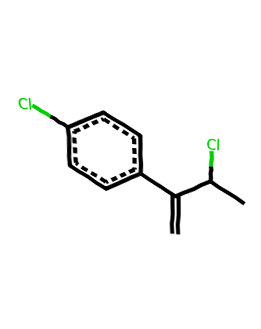 C=C(c1ccc(Cl)cc1)C(C)Cl